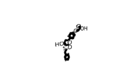 O=C(O)COc1ccc(C2CC(O)=C(SCCc3ccccc3)C(=O)O2)cc1